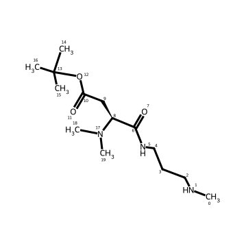 CNCCCNC(=O)[C@H](CC(=O)OC(C)(C)C)N(C)C